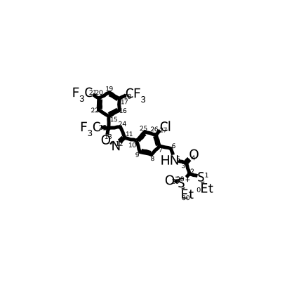 CCSC(C(=O)NCc1ccc(C2=NOC(c3cc(C(F)(F)F)cc(C(F)(F)F)c3)(C(F)(F)F)C2)cc1Cl)[S+]([O-])CC